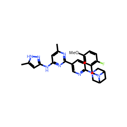 COc1ccc(F)c(CN2C3CC2CN(c2ccc(-c4nc(C)cc(Nc5cc(C)[nH]n5)n4)cn2)C3)c1